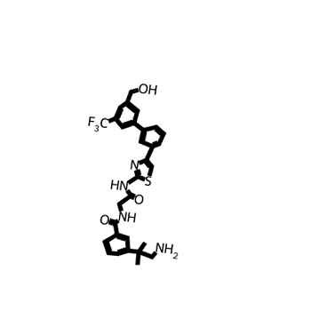 CC(C)(CN)c1cccc(C(=O)NCC(=O)Nc2nc(-c3cccc(-c4cc(CO)cc(C(F)(F)F)c4)c3)cs2)c1